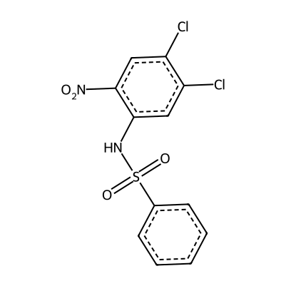 O=[N+]([O-])c1cc(Cl)c(Cl)cc1NS(=O)(=O)c1ccccc1